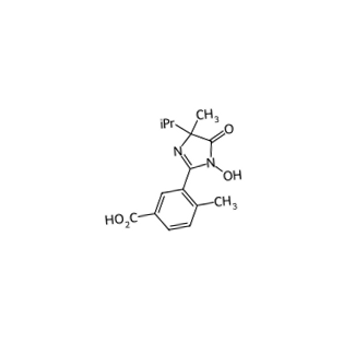 Cc1ccc(C(=O)O)cc1C1=NC(C)(C(C)C)C(=O)N1O